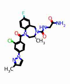 Cc1ccn(-c2ccc(C(=O)N3C[C@@H](C)N(C(=O)NCC(N)=O)Cc4cc(F)ccc43)c(Cl)c2)n1